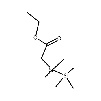 CCOC(=O)C[Si](C)(C)[Si](C)(C)C